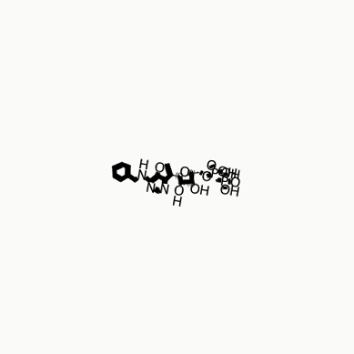 O=P(O)(O)CP(=O)(O)OC[C@H]1O[C@@H](c2coc3c(NCc4ccccc4)ncnc23)[C@H](O)[C@@H]1O